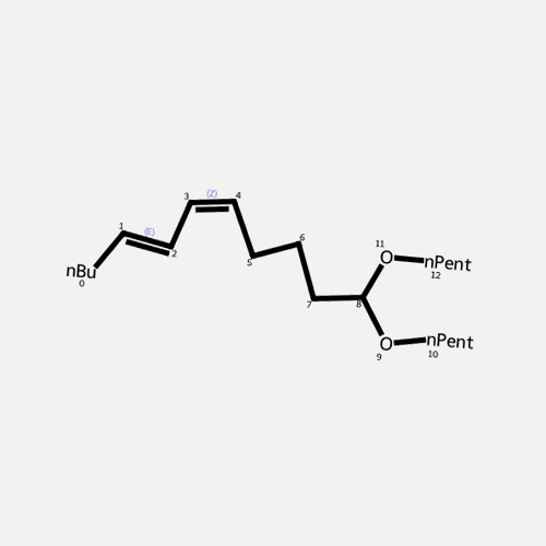 CCCC/C=C/C=C\CCCC(OCCCCC)OCCCCC